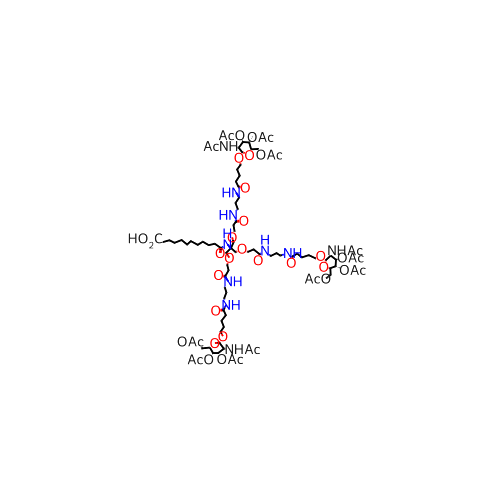 CC(=O)NC1[C@H](OCCCCC(=O)NCCCNC(=O)CCOCC(COCCC(=O)NCCCNC(=O)CCCCO[C@@H]2OC(COC(C)=O)[C@@H](OC(C)=O)[C@H](OC(C)=O)C2NC(C)=O)(COCCC(=O)NCCCNC(=O)CCCCO[C@@H]2OC(COC(C)=O)[C@@H](OC(C)=O)[C@H](OC(C)=O)C2NC(C)=O)NC(=O)CCCCCCCCCCC(=O)O)OC(COC(C)=O)[C@@H](OC(C)=O)[C@@H]1OC(C)=O